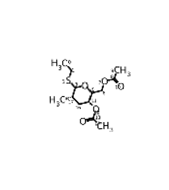 CCSC1OC(COC(C)=O)[C@@H](OC(C)=O)C[C@@H]1C